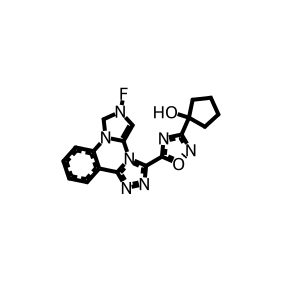 OC1(c2noc(-c3nnc4n3C3=CN(F)CN3c3ccccc3-4)n2)CCCC1